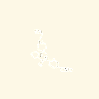 COc1ccc(N(CC2(F)CCN(CCC(C)(C)C)CC2)C(=O)C2CCCC2)cc1